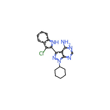 Nc1ncnc2c1c(-c1[nH]c3ccccc3c1Cl)nn2C1CCCCC1